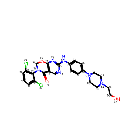 O=C1c2cnc(Nc3ccc(N4CCN(CCO)CC4)cc3)nc2OCN1c1c(Cl)cccc1Cl